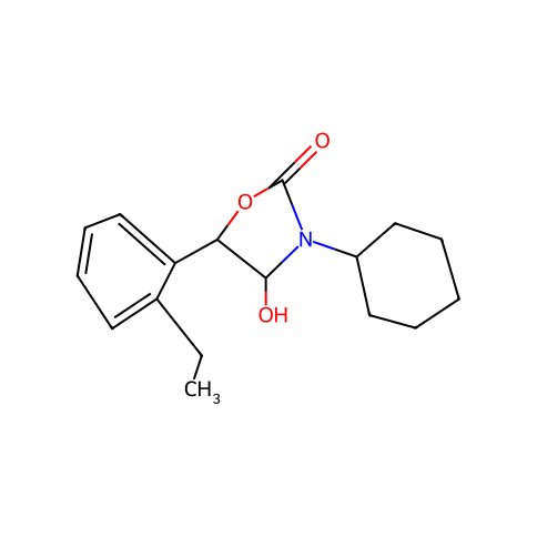 CCc1ccccc1C1OC(=O)N(C2CCCCC2)C1O